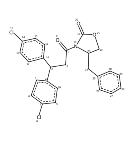 O=C(CC(c1ccc(Cl)cc1)c1ccc(Cl)cc1)N1C(=O)OCC1Cc1ccccc1